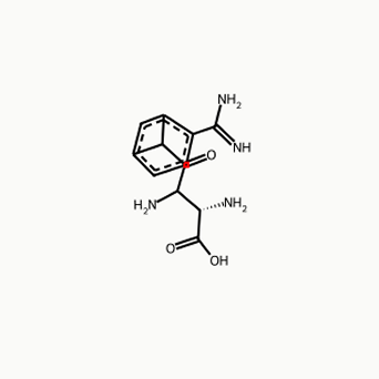 N=C(N)c1ccc2cc1C2C(=O)C(N)[C@H](N)C(=O)O